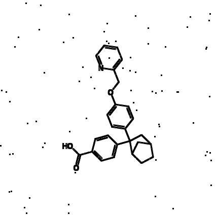 O=C(O)c1ccc(C2(c3ccc(OCc4ccccn4)cc3)CC3CCC2C3)cc1